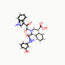 O=C(O)CCN(C(=O)C(=O)c1c[nH]c2ccccc12)C(C(=O)Nc1cccc(O)c1)C1CCCCC1